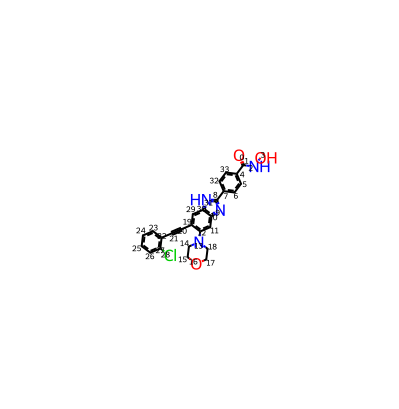 O=C(NO)c1ccc(-c2nc3cc(N4CCOCC4)c(C#Cc4ccccc4Cl)cc3[nH]2)cc1